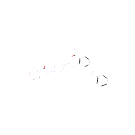 NC(=O)c1ccc(OCc2ccccc2)cc1CCN1CCN(CC(=O)N2CCOCC2)CC1